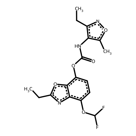 CCc1nc2c(OC(F)F)ccc(OC(=O)Nc3c(CC)noc3C)c2o1